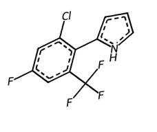 Fc1cc(Cl)c(-c2ccc[nH]2)c(C(F)(F)F)c1